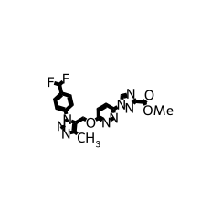 COC(=O)c1ncn(-c2ccc(OCc3c(C)nnn3-c3ccc(C(F)F)cc3)nn2)n1